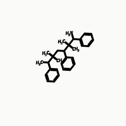 CC(c1ccccc1)C(C)(C)CC(c1ccccc1)C(C)(C)C(N)c1ccccc1